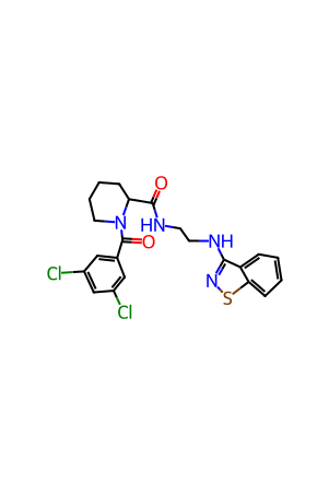 O=C(NCCNc1nsc2ccccc12)C1CCCCN1C(=O)c1cc(Cl)cc(Cl)c1